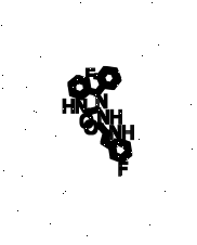 O=C(N[C@H]1N=C(c2ccccc2F)c2ccccc2NC1=O)c1cc2cc(F)ccc2[nH]1